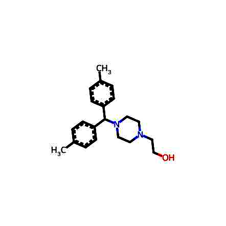 Cc1ccc(C(c2ccc(C)cc2)N2CCN(CCO)CC2)cc1